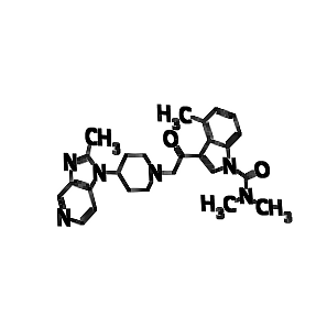 Cc1cccc2c1c(C(=O)CN1CCC(n3c(C)nc4cnccc43)CC1)cn2C(=O)N(C)C